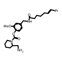 COc1cc(CNC(=O)CCCC/C=C/C(C)C)ccc1OC(=O)N1CCCCC1CN